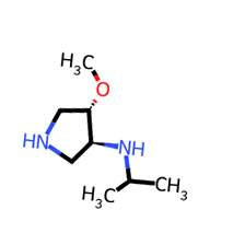 CO[C@H]1CNC[C@@H]1NC(C)C